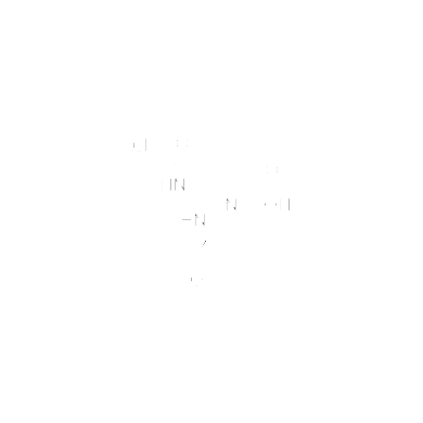 O=C(CCl)Nc1ccc(C(=O)O)nc1NC[C@@H]1CCO1